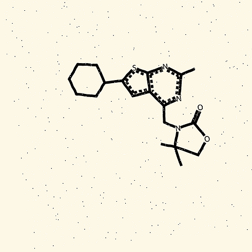 Cc1nc(CN2C(=O)OCC2(C)C)c2cc(C3CCCCC3)sc2n1